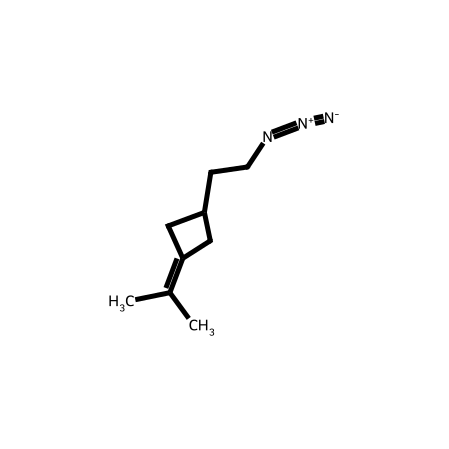 CC(C)=C1CC(CCN=[N+]=[N-])C1